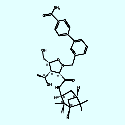 C[C@@H]1[C@@H](NC(=O)[C@@H]2[C@H]([C@H](C)O)[C@H](CO)ON2Cc2cccc(-c3ccc(C(N)=O)cc3)c2)C[C@H]2C[C@@H]1C2(C)C